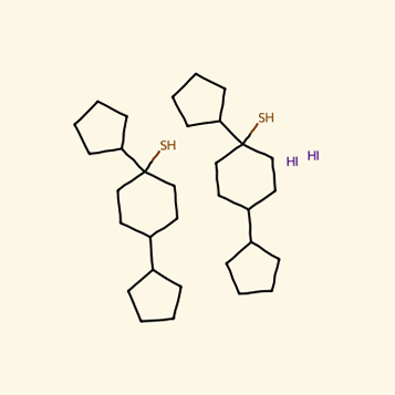 I.I.SC1(C2CCCC2)CCC(C2CCCC2)CC1.SC1(C2CCCC2)CCC(C2CCCC2)CC1